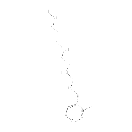 Cc1ccccc1CNNNNNNNNNNN